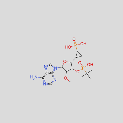 COC1C(OP(=O)(O)C(C)(C)C)C(C2CC2P(=O)(O)O)OC1n1cnc2c(N)ncnc21